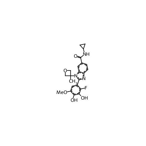 COc1cc(-c2nc3ccc(C(=O)NC4CC4)cc3n2C2(C)COC2)c(F)c(O)c1O